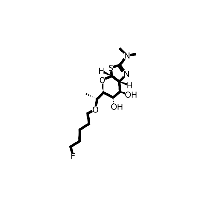 C[C@@H](OCCCCCF)[C@H]1O[C@@H]2SC(N(C)C)=N[C@@H]2[C@@H](O)[C@@H]1O